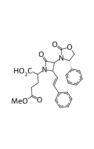 COC(=O)CCC(C(=O)O)N1C(=O)C(N2C(=O)OC[C@@H]2c2ccccc2)C1C=Cc1ccccc1